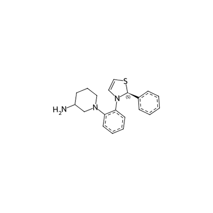 NC1CCCN(c2ccccc2N2C=CS[C@H]2c2ccccc2)C1